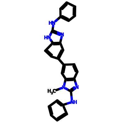 Cn1c(Nc2ccccc2)nc2ccc(-c3ccc4[nH]c(Nc5ccccc5)nc4c3)cc21